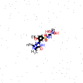 CCCc1nc(C)c2c(=O)[nH]c(-c3cc(S(=O)(=O)NCC[N+](O)(O)CC)ccc3OCC)nn12